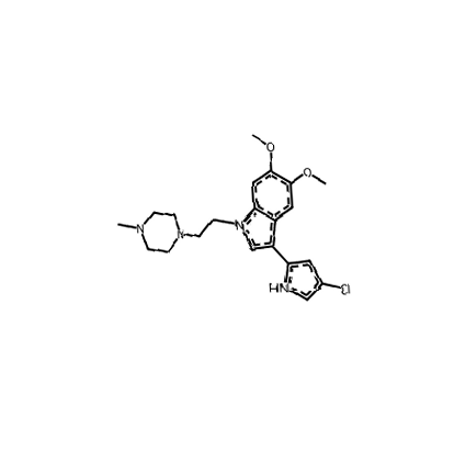 COc1cc2c(-c3cc(Cl)c[nH]3)cn(CCN3CCN(C)CC3)c2cc1OC